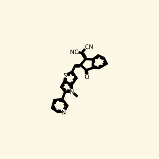 Cn1c(-c2cccnc2)cc2sc(/C=C3\C(=O)c4ccccc4C3=C(C#N)C#N)cc21